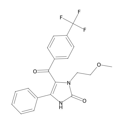 COCCn1c(C(=O)c2ccc(C(F)(F)F)cc2)c(-c2ccccc2)[nH]c1=O